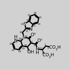 O=C(O)C[C@H](NC(=O)C1C(=O)N(Cc2nc3ccccc3s2)C2NC=CC=C2C1O)C(=O)O